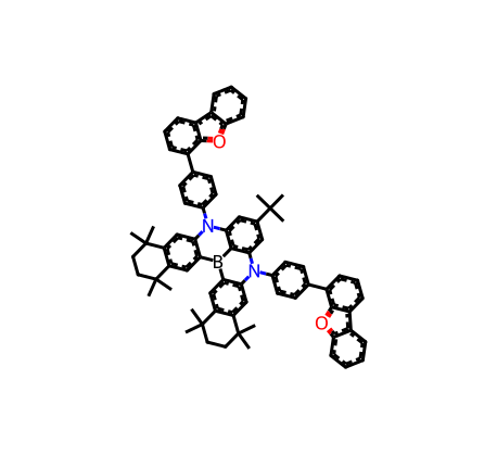 CC(C)(C)c1cc2c3c(c1)N(c1ccc(-c4cccc5c4oc4ccccc45)cc1)c1cc4c(cc1B3c1cc3c(cc1N2c1ccc(-c2cccc5c2oc2ccccc25)cc1)C(C)(C)CCC3(C)C)C(C)(C)CCC4(C)C